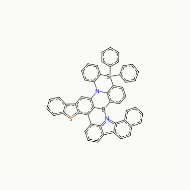 c1ccc([Si]2(c3ccccc3)c3ccccc3N3c4cc5c(sc6ccccc65)c5c4B(c4cccc2c43)n2c3c-5cccc3c3ccc4ccccc4c32)cc1